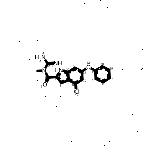 CN(C(=N)N)C(=O)c1cc2c(Cl)cc(Oc3ccccc3)cc2[nH]1